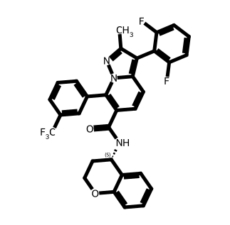 Cc1nn2c(-c3cccc(C(F)(F)F)c3)c(C(=O)N[C@H]3CCOc4ccccc43)ccc2c1-c1c(F)cccc1F